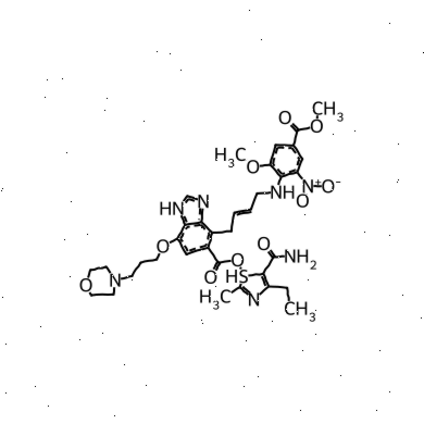 CCC1=C(C(N)=O)[SH](OC(=O)c2cc(OCCCN3CCOCC3)c3[nH]cnc3c2CC=CCNc2c(OC)cc(C(=O)OC)cc2[N+](=O)[O-])C(C)=N1